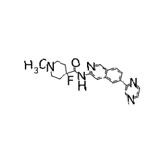 CN1CCC(F)(C(=O)Nc2cc3cc(-c4cnccn4)ccc3cn2)CC1